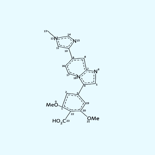 COc1cc(-c2cnc3cc(-c4cn(C)cn4)ccn23)cc(OC)c1C(=O)O